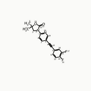 CC1(C)CN(c2ccc(C#Cc3ccc(F)c(F)c3)cn2)C(=O)O1